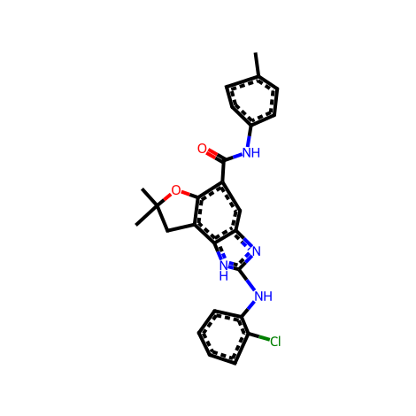 Cc1ccc(NC(=O)c2cc3nc(Nc4ccccc4Cl)[nH]c3c3c2OC(C)(C)C3)cc1